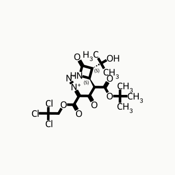 CC(C)(C)OC(=O)C(C(=O)C(=[N+]=[N-])C(=O)OCC(Cl)(Cl)Cl)[C@H]1NC(=O)[C@@H]1C(C)(C)O